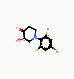 O=C1CCN(c2c(F)cc(Cl)cc2F)C[C@H]1O